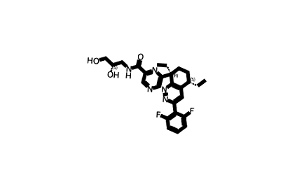 CC[C@H]1CC[C@](CC)(c2cncc(C(=O)NC[C@H](O)CO)n2)c2nnc(-c3c(F)cccc3F)cc21